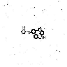 C[C@@H](Nc1ccc2ncc(-c3ccc(SC[C@@H]4CCCN4)cc3)n2n1)c1ccccc1